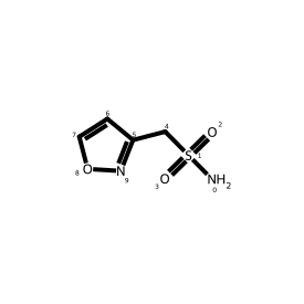 NS(=O)(=O)Cc1ccon1